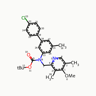 COc1c(C)cnc(CN(C(=O)OC(C)(C)C)c2cc(C)cc(-c3ccc(Cl)cc3)c2)c1C